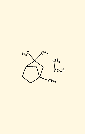 CC(=O)O.CC12CCC(C1)C(C)(C)C2